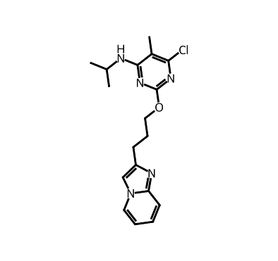 Cc1c(Cl)nc(OCCCc2cn3ccccc3n2)nc1NC(C)C